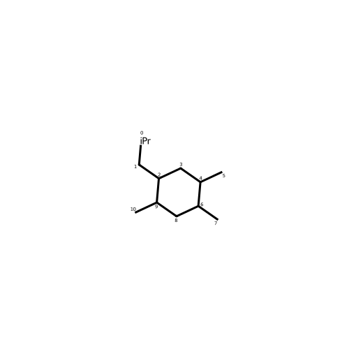 CC(C)CC1CC(C)C(C)CC1C